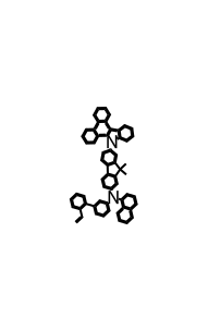 C=Cc1ccccc1-c1cccc(N(c2ccc3c(c2)C(C)(C)c2cc(-n4c5ccccc5c5c6ccccc6c6ccccc6c54)ccc2-3)c2cccc3ccccc23)c1